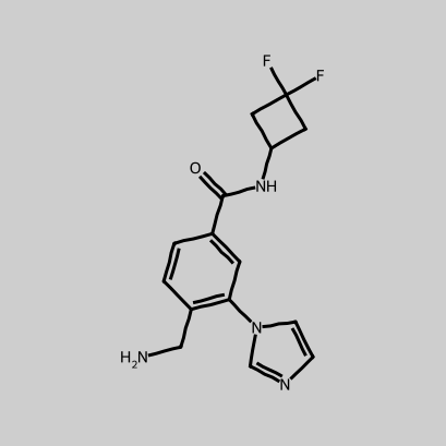 NCc1ccc(C(=O)NC2CC(F)(F)C2)cc1-n1ccnc1